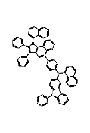 c1ccc(-c2c(-c3ccccc3)n(-c3cccc4ccccc34)c3c2cc(-c2ccc(N(c4ccc5c(c4)c4ccccc4n5-c4ccccc4)c4cccc5ccccc45)cc2)c2ccccc23)cc1